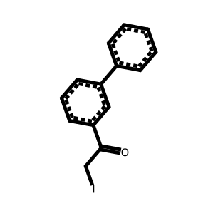 O=C(CI)c1cccc(-c2ccccc2)c1